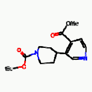 COC(=O)c1ccncc1C1CCN(C(=O)OC(C)(C)C)CC1